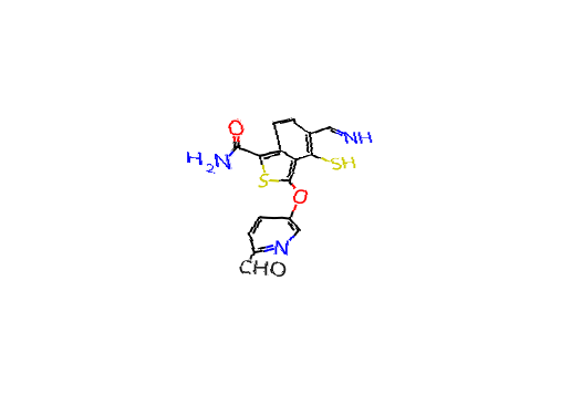 N=CC1=C(S)c2c(Oc3ccc(C=O)nc3)sc(C(N)=O)c2CC1